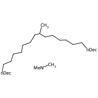 CCCCCCCCCCCCCCCCCC(C)CCCCCCCCCCCCCCCC.CNC